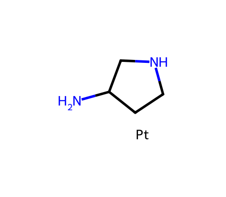 NC1CCNC1.[Pt]